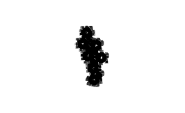 c1ccc2c(c1)B1c3ccccc3N(c3cccc4c3sc3ccccc34)c3cccc(c31)N2c1ccc2c(c1)sc1ccccc12